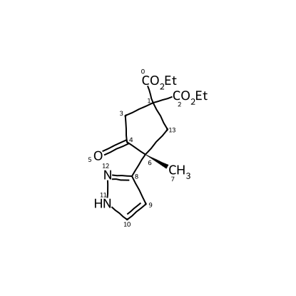 CCOC(=O)C1(C(=O)OCC)CC(=O)[C@@](C)(c2cc[nH]n2)C1